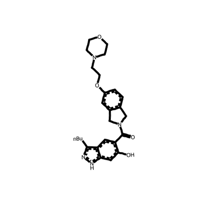 CCCCc1n[nH]c2cc(O)c(C(=O)N3Cc4ccc(OCCN5CCOCC5)cc4C3)cc12